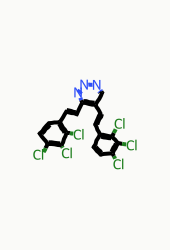 Clc1ccc(/C=C/c2cnnnc2/C=C/c2ccc(Cl)c(Cl)c2Cl)c(Cl)c1Cl